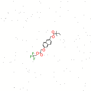 CCC(C)(C)C(=O)OCc1ccc2cc(OCC(=O)OCC(F)(F)F)ccc2c1